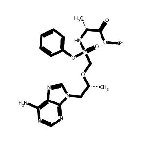 CC(C)OC(=O)[C@@H](C)NP(=O)(CO[C@H](C)Cn1cnc2c(N)ncnc21)Oc1ccccc1